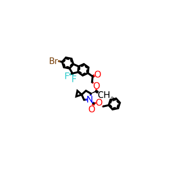 C=C(OCC(=O)c1ccc2c(c1)C(F)(F)c1cc(Br)ccc1-2)[C@@H]1CC2(CC2)CN1C(=O)OCc1ccccc1